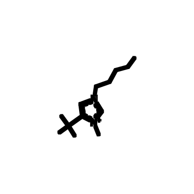 CCCCCn1cc(C(C)(C)C)[n+](C)c1